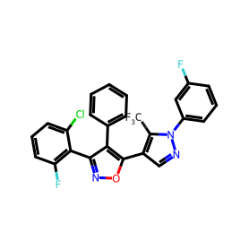 Fc1cccc(-n2ncc(-c3onc(-c4c(F)cccc4Cl)c3-c3ccccc3)c2C(F)(F)F)c1